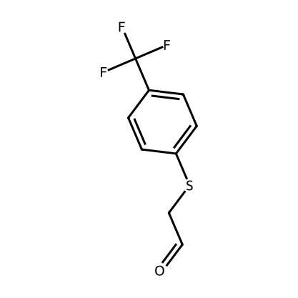 O=CCSc1ccc(C(F)(F)F)cc1